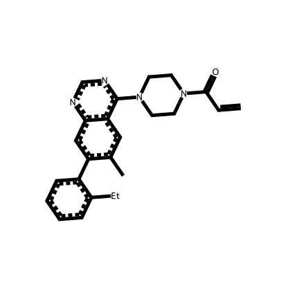 C=CC(=O)N1CCN(c2ncnc3cc(-c4ccccc4CC)c(C)cc23)CC1